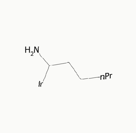 CCCCC[CH](N)[Ir]